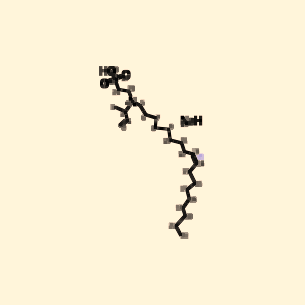 C=CC(C)N(CCCCCCCC/C=C\CCCCCCCC)CCS(=O)(=O)O.[NaH]